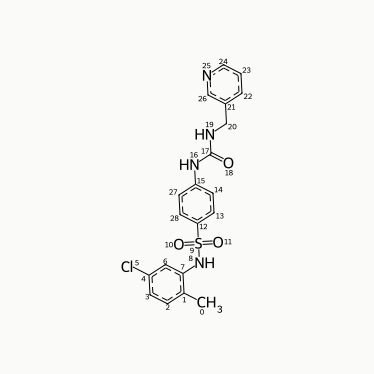 Cc1ccc(Cl)cc1NS(=O)(=O)c1ccc(NC(=O)NCc2cccnc2)cc1